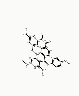 COc1ccc(/C=C(\c2ccc(OC)cc2)c2c(/C=C/c3cc(OC)cc(OC)c3)cc(OC)cc2OC)cc1